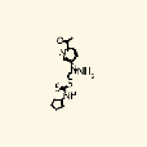 CC(=O)c1ccc(N(N)CSC(=S)NC2CCCC2)cn1